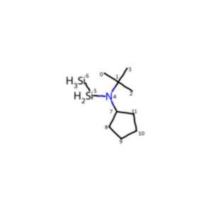 CC(C)(C)N([SiH2][SiH3])C1CCCC1